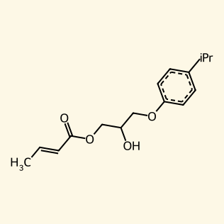 CC=CC(=O)OCC(O)COc1ccc(C(C)C)cc1